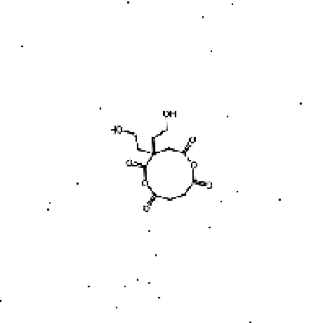 O=C1CCC(=O)OC(=O)C(CCO)(CCO)CC(=O)O1